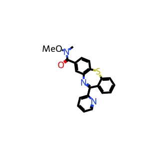 CON(C)C(=O)c1ccc2c(c1)N=C(c1ccccn1)c1ccccc1S2